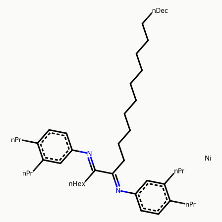 CCCCCCCCCCCCCCCCCCCCC(=N\c1ccc(CCC)c(CCC)c1)/C(CCCCCC)=N/c1ccc(CCC)c(CCC)c1.[Ni]